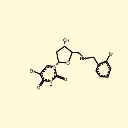 CCc1cn([C@H]2C[C@H](O)[C@@H](CNCc3ccccc3Br)O2)c(=O)[nH]c1=O